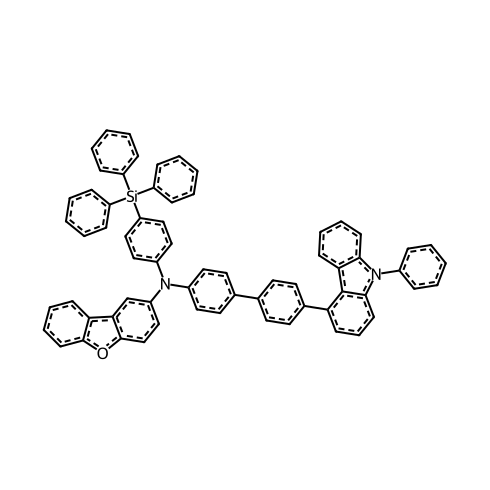 c1ccc(-n2c3ccccc3c3c(-c4ccc(-c5ccc(N(c6ccc([Si](c7ccccc7)(c7ccccc7)c7ccccc7)cc6)c6ccc7oc8ccccc8c7c6)cc5)cc4)cccc32)cc1